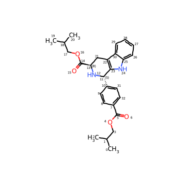 CC(C)COC(=O)c1ccc([C@@H]2N[C@@H](C(=O)OCC(C)C)Cc3c2[nH]c2ccccc32)cc1